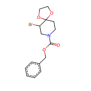 O=C(OCc1ccccc1)N1CCC2(OCCO2)C(Br)C1